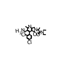 CCN(CC)C(=O)C(C)N1Cc2nc(C)c(CN)c(-c3ccc(Cl)cc3Cl)c2C1=O